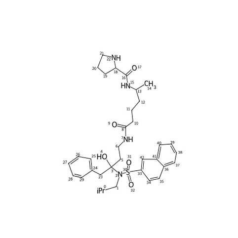 CC(C)CN(C(O)(CCNC(=O)CCCC(C)NC(=O)C1CCCN1)Cc1ccccc1)S(=O)(=O)c1ccc2ccccc2c1